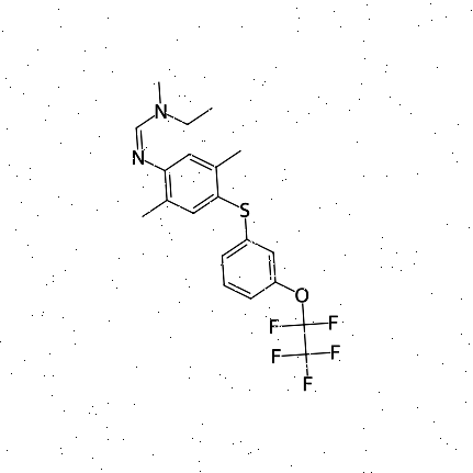 CCN(C)/C=N\c1cc(C)c(Sc2cccc(OC(F)(F)C(F)(F)F)c2)cc1C